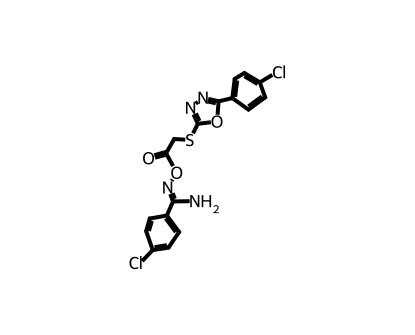 NC(=NOC(=O)CSc1nnc(-c2ccc(Cl)cc2)o1)c1ccc(Cl)cc1